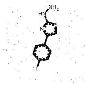 NNc1nc(-c2ccc(I)cc2)cs1